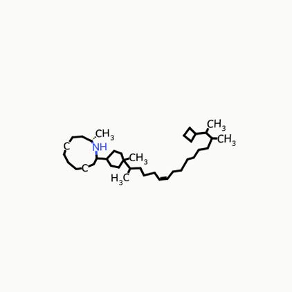 CC(CCCCCC/C=C\CCCC(C)C1(C)CCC(C2CCCCCCCC[C@H](C)N2)CC1)C(C)C1CCC1